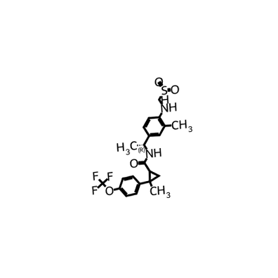 Cc1cc([C@@H](C)NC(=O)C2CC2(C)c2ccc(OC(F)(F)F)cc2)ccc1NC[SH](=O)=O